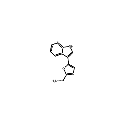 NCc1ncc(-c2c[nH]c3ncccc23)o1